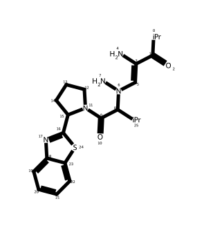 CC(C)C(=O)/C(N)=C/N(N)C(C(=O)N1CCCC1c1nc2ccccc2s1)C(C)C